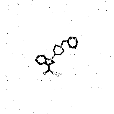 O=C(O)C(=O)c1cn(C2CCN(Cc3ccccc3)CC2)c2ccccc12